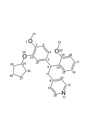 COc1ccc(C(Cc2ccncc2)c2ccccc2OC)cc1OC1CCCC1